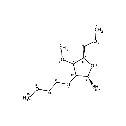 B[C@@H]1O[C@H](COC)C(OC)C1OCCOC